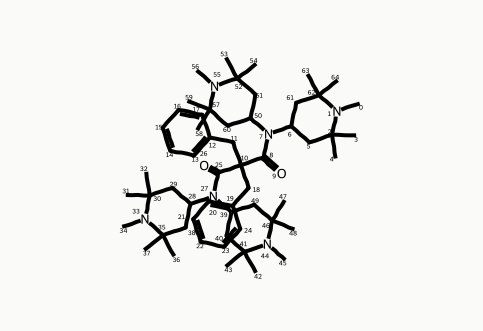 CN1C(C)(C)CC(N(C(=O)C(Cc2ccccc2)(Cc2ccccc2)C(=O)N(C2CC(C)(C)N(C)C(C)(C)C2)C2CC(C)(C)N(C)C(C)(C)C2)C2CC(C)(C)N(C)C(C)(C)C2)CC1(C)C